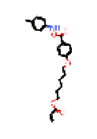 C=CC(=O)OCCCCCCOc1ccc(C(=O)ONc2ccc(C)cc2)cc1